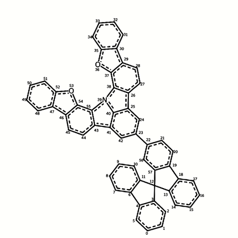 c1ccc2c(c1)-c1ccccc1C21c2ccccc2-c2ccc(-c3cc4c5ccc6c7ccccc7oc6c5n5c4c(c3)c3ccc4c6ccccc6oc4c35)cc21